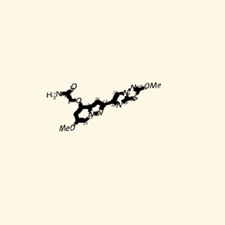 COc1cc(OCC(N)=O)c2cc(-c3cn4nc(OC)sc4n3)nn2c1